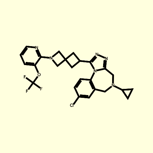 FC(F)(F)Oc1cccnc1N1CC2(CC(c3nnc4n3-c3ccc(Cl)cc3CN(C3CC3)C4)C2)C1